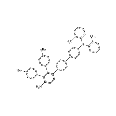 CCCCc1ccc(-c2c(N)ccc(-c3ccc(-c4ccc(N(c5ccccc5C)c5ccccc5C)cc4)cc3)c2-c2ccc(CCCC)cc2)cc1